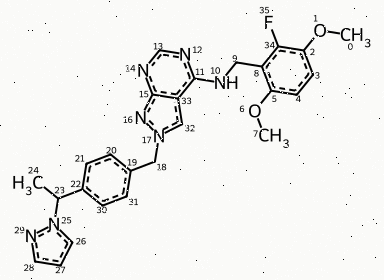 COc1ccc(OC)c(CNc2ncnc3nn(Cc4ccc(C(C)n5cccn5)cc4)cc23)c1F